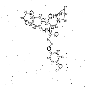 COc1ccc(OCCC(=O)N[C@H](CN2CC3CC3C2)[C@H](O)c2ccc3c(c2)OCCO3)cc1